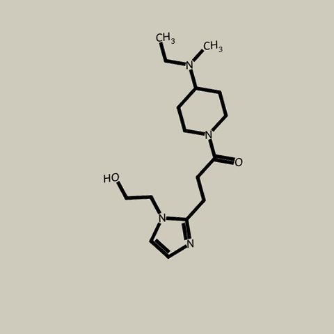 CCN(C)C1CCN(C(=O)CCc2nccn2CCO)CC1